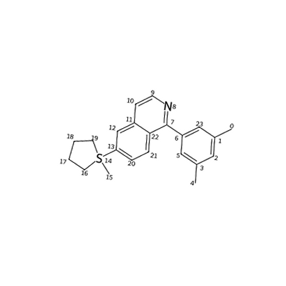 Cc1cc(C)cc(-c2nccc3cc(S4(C)CCCC4)ccc23)c1